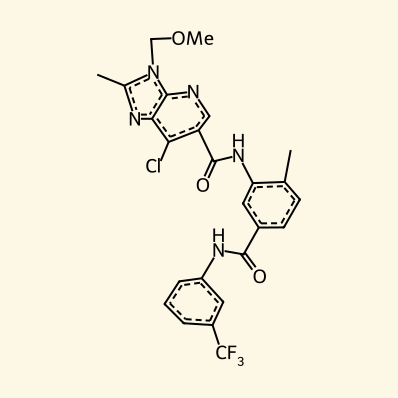 COCn1c(C)nc2c(Cl)c(C(=O)Nc3cc(C(=O)Nc4cccc(C(F)(F)F)c4)ccc3C)cnc21